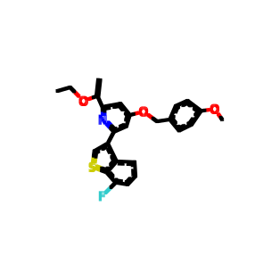 C=C(OCC)c1cc(OCc2ccc(OC)cc2)cc(-c2csc3c(F)cccc23)n1